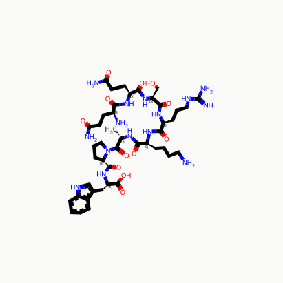 C[C@H](NC(=O)[C@H](CCCCN)NC(=O)[C@H](CCCNC(=N)N)NC(=O)[C@H](CO)NC(=O)[C@H](CCC(N)=O)NC(=O)[C@@H](N)CCC(N)=O)C(=O)N1CCC[C@H]1C(=O)N[C@@H](Cc1c[nH]c2ccccc12)C(=O)O